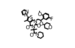 COc1ccc(F)cc1C(Cn1c(=O)n(C(C)(C)C(=O)N2CCCCC2)c(=O)c2c(C)c(-n3cccn3)sc21)OC1CCOCC1